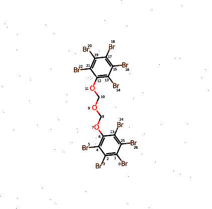 Brc1c(Br)c(Br)c(OCOCOc2c(Br)c(Br)c(Br)c(Br)c2Br)c(Br)c1Br